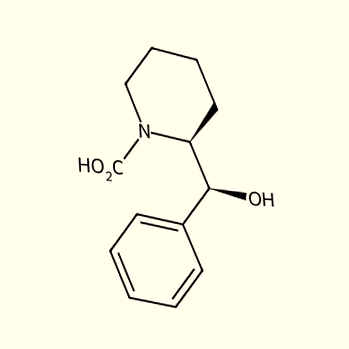 O=C(O)N1CCCC[C@H]1[C@@H](O)c1ccccc1